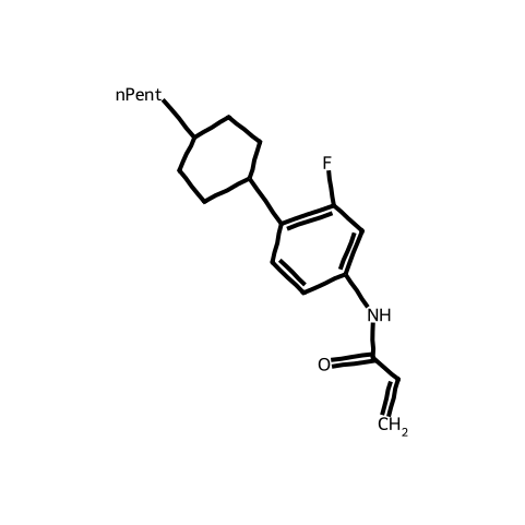 C=CC(=O)Nc1ccc(C2CCC(CCCCC)CC2)c(F)c1